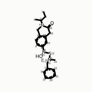 CCC(C)N1Cc2ccc(N(O)SN(C)[C@@H](C)c3ccccc3)cc2CC1=O